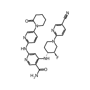 N#Cc1ccc(N2CC[C@@H](Nc3cc(Nc4ccc(N5CCCCC5=O)cn4)ncc3C(N)=O)[C@H](F)C2)nc1